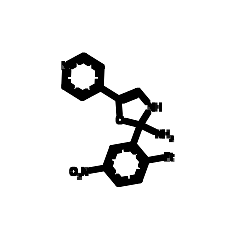 CCc1ccc([N+](=O)[O-])cc1C1(N)NC=C(c2ccncc2)O1